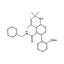 COc1ccccc1-c1ccc2c(c1C(=O)NCc1ccccc1)C(C)=CC(C)(C)N2